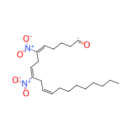 CCCCCCCC/C=C\C/C(=C\C/C(=C\CCC[C]=O)[N+](=O)[O-])[N+](=O)[O-]